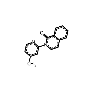 Cc1ccnc(-n2ccc3ccccc3c2=O)c1